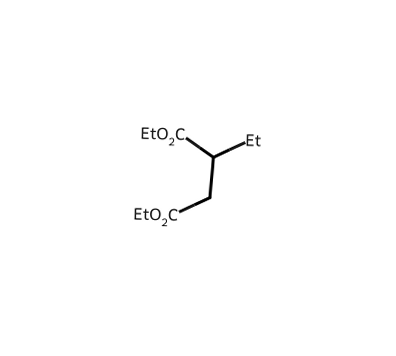 [CH2]CC(CC(=O)OCC)C(=O)OCC